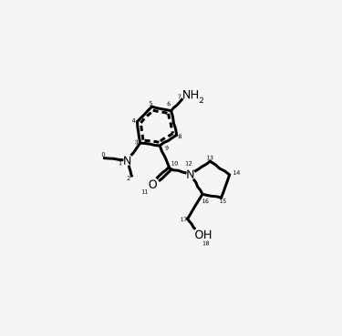 CN(C)c1ccc(N)cc1C(=O)N1CCCC1CO